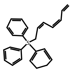 C=C/C=C\C=C/CS(C1=CCCC=C1)(c1ccccc1)c1ccccc1